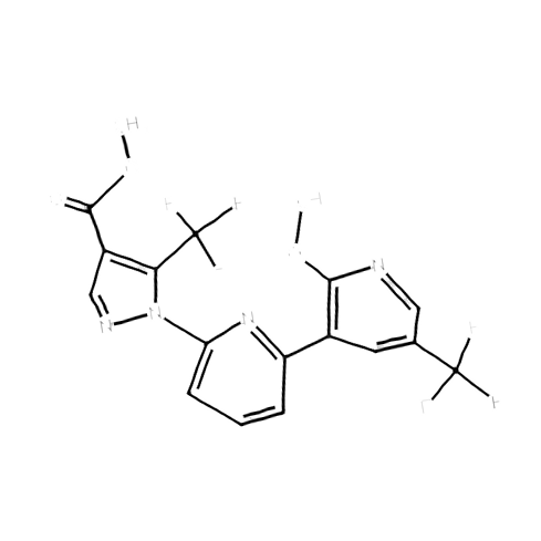 COC(=O)c1cnn(-c2cccc(-c3cc(C(F)(F)F)cnc3OC)n2)c1C(F)(F)F